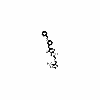 Cc1[nH]cnc1CSCCNc1ncc(Cc2cccc(OCc3ccccc3)c2)c(=O)[nH]1